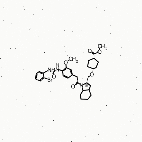 COc1cc(CC(=O)N2C3CCCCC3C[C@H]2CO[C@H]2CC[C@@H](C(=O)OC)CC2)ccc1NC(=O)Nc1ccccc1Br